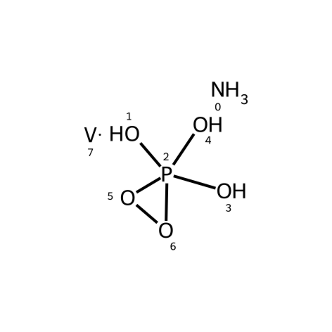 N.OP1(O)(O)OO1.[V]